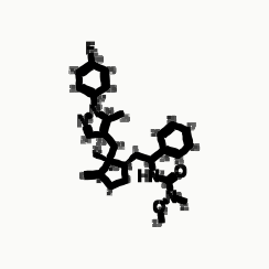 C=C1CC[C@H](CC(NC(=O)N(C)OC)c2ccccc2)[C@@]1(C)Cc1cnn(-c2ccc(F)cc2)c1C